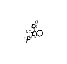 N#Cc1c(N2CC(F)(F)C2)nc2c(c1-c1ccc(Cl)s1)CCCCC2